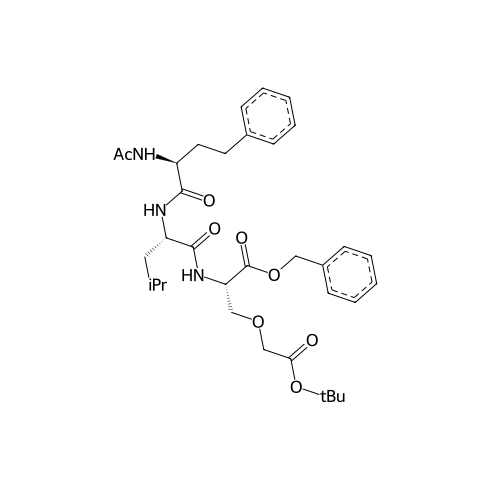 CC(=O)N[C@@H](CCc1ccccc1)C(=O)N[C@@H](CC(C)C)C(=O)N[C@@H](COCC(=O)OC(C)(C)C)C(=O)OCc1ccccc1